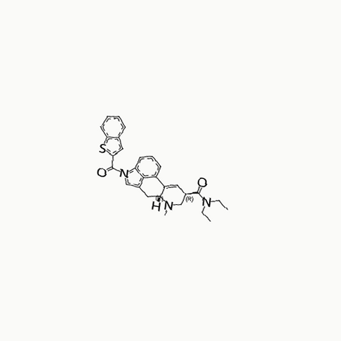 CCN(CC)C(=O)[C@@H]1C=C2c3cccc4c3c(cn4C(=O)c3cc4ccccc4s3)C[C@H]2N(C)C1